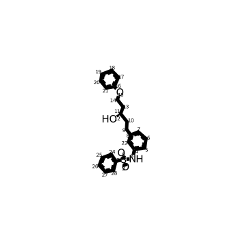 O=S(=O)(Nc1cccc(CC[C@@H](O)CCOc2[c]cccc2)c1)c1ccccc1